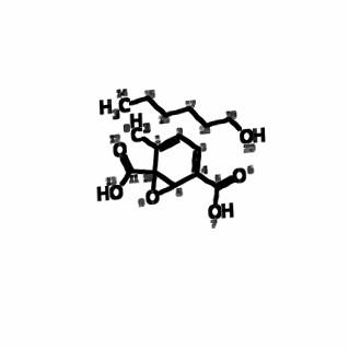 CC1=CC=C(C(=O)O)C2OC12C(=O)O.CCCCCCO